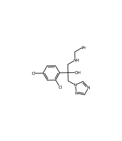 CC(C)CNCC(O)(Cn1cncn1)c1ccc(Cl)cc1Cl